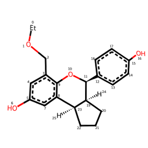 CCOCc1cc(O)cc2c1O[C@@H](c1ccc(O)cc1)[C@H]1CCC[C@@H]21